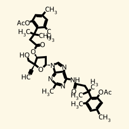 C#C[C@]1(CO)O[C@@H](n2cnc3c(NC(=O)CC(C)(C)c4c(C)cc(C)cc4OC(C)=O)nc(C)nc32)C[C@@H]1OC(=O)CC(C)(C)c1c(C)cc(C)cc1OC(C)=O